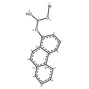 OB(OBr)Oc1cccc2c1ccc1ccccc12